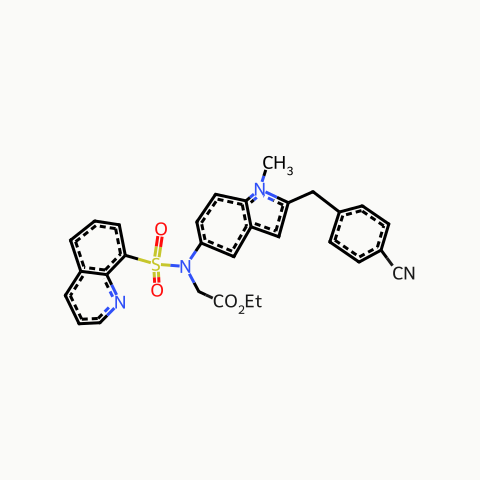 CCOC(=O)CN(c1ccc2c(c1)cc(Cc1ccc(C#N)cc1)n2C)S(=O)(=O)c1cccc2cccnc12